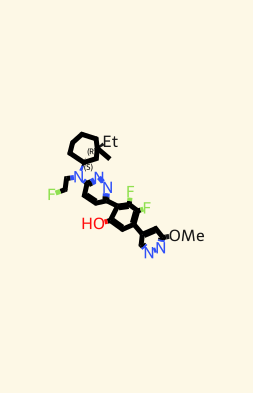 CC[C@]1(C)CCCC[C@H](N(CCF)c2ccc(-c3c(O)cc(-c4cnnc(OC)c4)c(F)c3F)nn2)C1